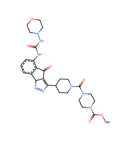 CCCCOC(=O)N1CCN(C(=O)N2CCC(C3=C4C(=O)c5c(NC(=O)NN6CCOCC6)cccc5C4N=N3)CC2)CC1